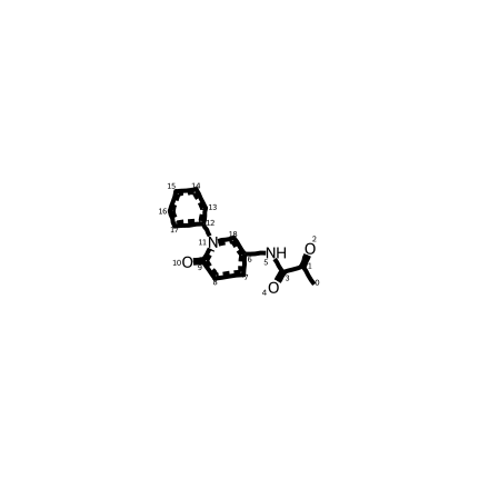 CC(=O)C(=O)Nc1ccc(=O)n(-c2ccccc2)c1